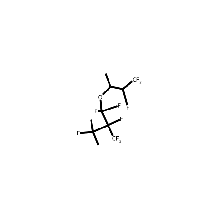 CC(OC(F)(F)C(F)(C(C)(C)F)C(F)(F)F)C(F)C(F)(F)F